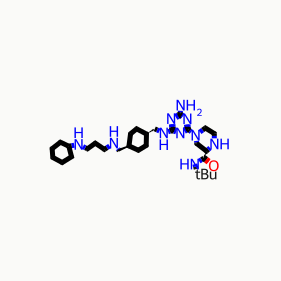 CC(C)(C)NC(=O)[C@@H]1CN(c2nc(N)nc(NC[C@H]3CC[C@H](CNCCCNC4CCCCC4)CC3)n2)CCN1